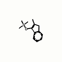 CC1=C(O[Si](C)(C)C)c2ccccc2C1